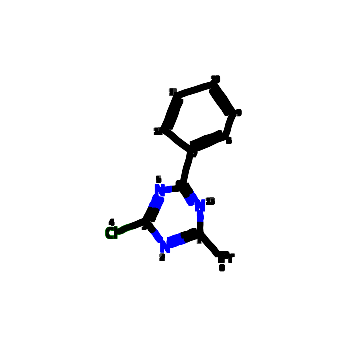 CC(C)c1nc(Cl)nc(-c2ccccc2)n1